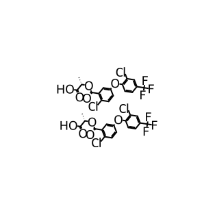 C[C@H](OC(=O)c1cc(Oc2ccc(C(F)(F)F)cc2Cl)ccc1Cl)C(=O)O.C[C@H](OC(=O)c1cc(Oc2ccc(C(F)(F)F)cc2Cl)ccc1Cl)C(=O)O